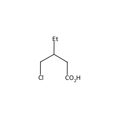 CCC(CCl)CC(=O)O